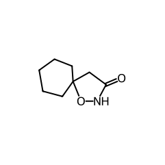 O=C1CC2(CCCCC2)ON1